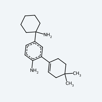 CC1(C)CC=C(c2cc(C3(N)CCCCC3)ccc2N)CC1